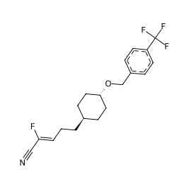 N#CC(F)=CCC[C@H]1CC[C@H](OCc2ccc(C(F)(F)F)cc2)CC1